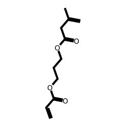 C=CC(=O)OCCCOC(=O)CC(=C)C